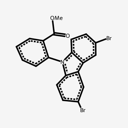 COC(=O)c1ccccc1-n1c2ccc(Br)cc2c2cc(Br)ccc21